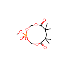 COP1(=O)OCOC(=O)C(C)(C)CC(C)(C)C(=O)OCO1